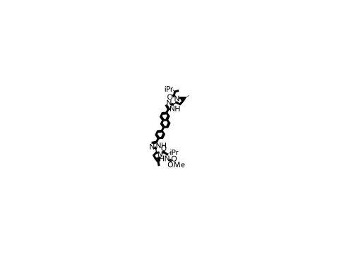 COC(=O)N[C@H](C(=O)N1C2C(C)C2C[C@H]1c1ncc(-c2ccc(-c3ccc4cc(-c5cnc([C@@H]6CC7C([C@@H]7C)N6C(=O)[C@@H](C)C(C)C)[nH]5)ccc4c3)cc2)[nH]1)C(C)C